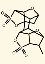 CC1C2OC3C(OS(=O)(=O)C13)C2C1C2CC3(C)OS(=O)(=O)C1C3O2